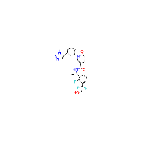 C[C@@H](NC(=O)c1ccc(=O)n(-c2cccc(-c3cnnn3C)c2)c1)c1cccc(C(F)(F)CO)c1F